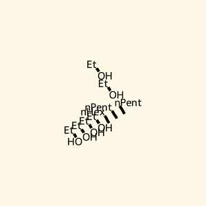 CCCCCC.CCCCCC.CCCCCCC.CCO.CCO.CCO.CCO.CCO.CCO